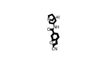 N#Cc1cc2ccc(C(=O)N[C@@H]3C[C@@H]4CCN(C4)C3)cc2o1